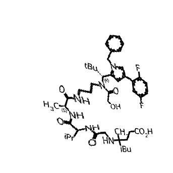 CCC(C)C(C)(CCC(=O)O)NCC(=O)NC(C(=O)N[C@@H](C)C(=O)NCCCN(C(=O)CO)[C@@H](c1cc(-c2cc(F)ccc2F)cn1Cc1ccccc1)C(C)(C)C)C(C)C